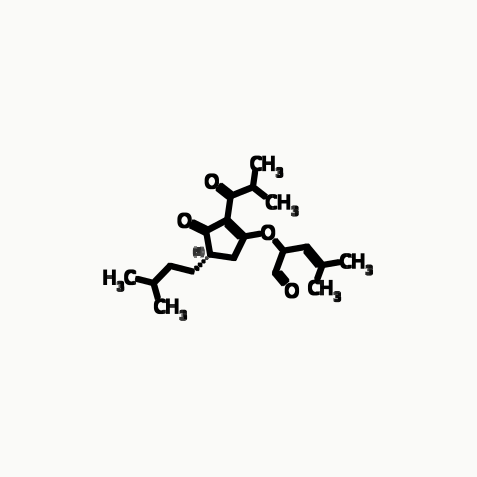 CC(C)=CC(C=O)OC1=C(C(=O)C(C)C)C(=O)[C@@H](CCC(C)C)C1